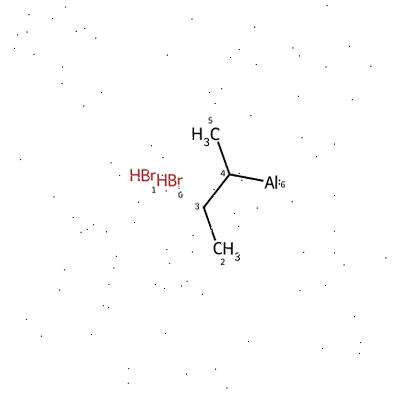 Br.Br.CC[CH](C)[Al]